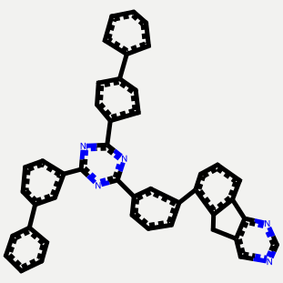 c1ccc(-c2ccc(-c3nc(-c4cccc(-c5ccccc5)c4)nc(-c4cccc(-c5cccc6c5Cc5cncnc5-6)c4)n3)cc2)cc1